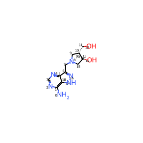 Nc1ncnc2c(CN3C[C@H](CO)[C@H](O)C3)n[nH]c12